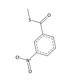 CSC(=O)c1cccc([N+](=O)[O-])c1